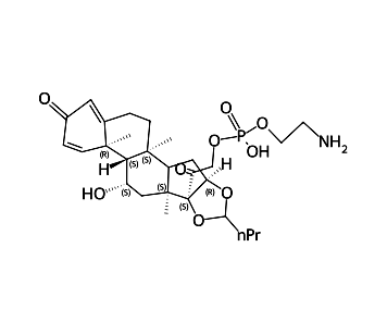 CCCC1O[C@@H]2CC3[C@]4(C)CCC5=CC(=O)C=C[C@]5(C)[C@H]4[C@@H](O)C[C@]3(C)[C@]2(C(=O)COP(=O)(O)OCCN)O1